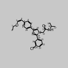 CCO/C=C\c1ccc(-c2cn(CC(=O)NC(C)C)c(-c3cccc(Cl)c3)n2)cn1